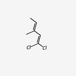 C/C=C(\C)C=C(Cl)Cl